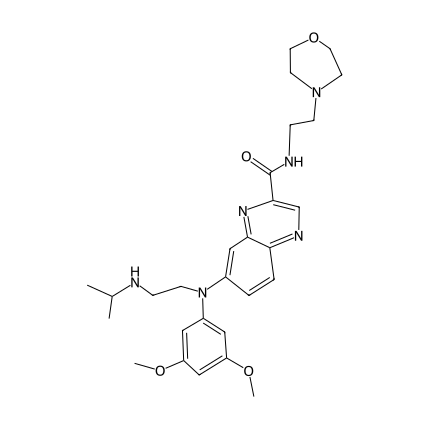 COc1cc(OC)cc(N(CCNC(C)C)c2ccc3ncc(C(=O)NCCN4CCOCC4)nc3c2)c1